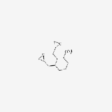 O=C(O)C1CCCC(CC2CO2)C1CC1CO1